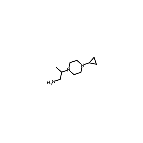 CC(CN)N1CCN(C2CC2)CC1